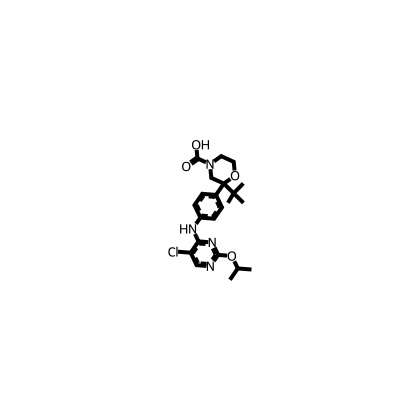 CC(C)Oc1ncc(Cl)c(Nc2ccc(C3(C(C)(C)C)CN(C(=O)O)CCO3)cc2)n1